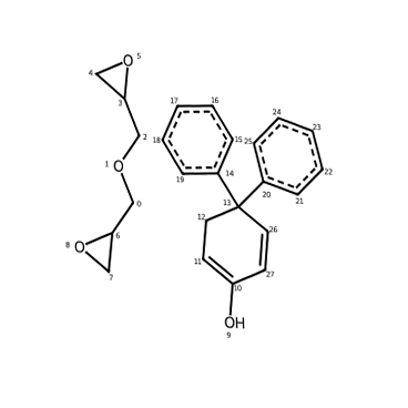 C(OCC1CO1)C1CO1.OC1=CCC(c2ccccc2)(c2ccccc2)C=C1